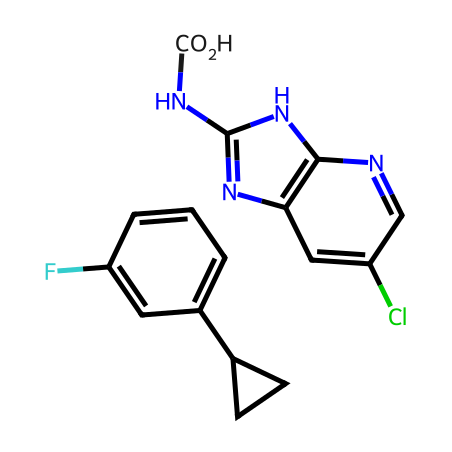 Fc1cccc(C2CC2)c1.O=C(O)Nc1nc2cc(Cl)cnc2[nH]1